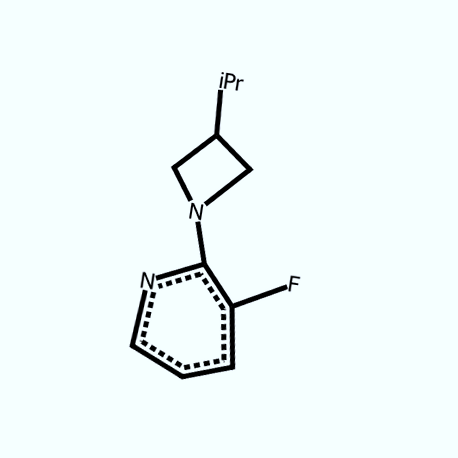 CC(C)C1CN(c2ncccc2F)C1